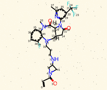 C=CC(=O)N1CC(NCCCN2C[C@H]3CC(=O)N(c4cc(C(F)(F)F)cc(C)n4)[C@@H]3C(=O)N(C)c3cccc(F)c32)C1